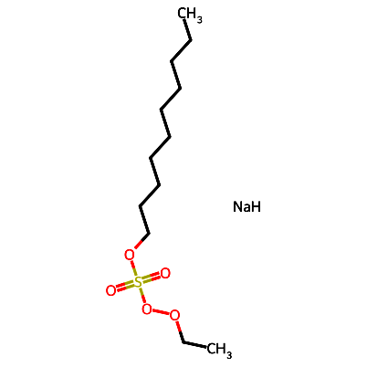 CCCCCCCCCCOS(=O)(=O)OOCC.[NaH]